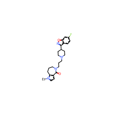 CCn1ccc2c1CCCN(CCCN1CCC(c3noc4cc(F)ccc34)CC1)C2=O